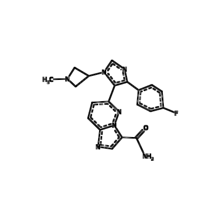 CN1CC(n2cnc(-c3ccc(F)cc3)c2-c2ccc3ncc(C(N)=O)n3n2)C1